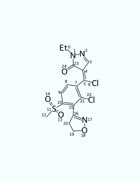 CCN1N=C/C(=C(\Cl)c2ccc(S(C)(=O)=O)c(C3=NOCC3)c2Cl)C1=O